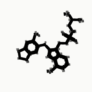 Cc1cc2c(cc1Sc1nc3c(N)ncnc3n1CCS(=O)(=O)NCC(C)C)OCO2